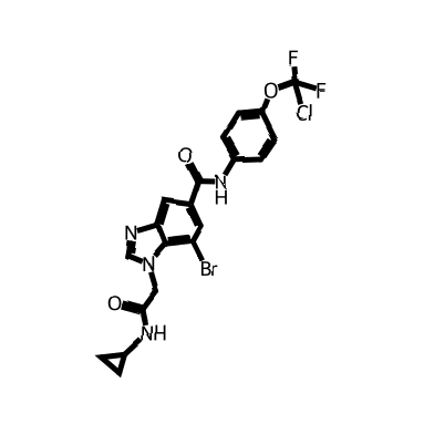 O=C(Cn1cnc2cc(C(=O)Nc3ccc(OC(F)(F)Cl)cc3)cc(Br)c21)NC1CC1